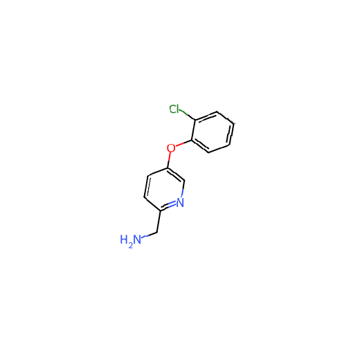 NCc1ccc(Oc2ccccc2Cl)cn1